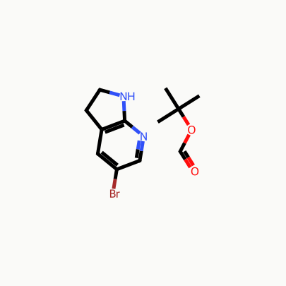 Brc1cnc2c(c1)CCN2.CC(C)(C)OC=O